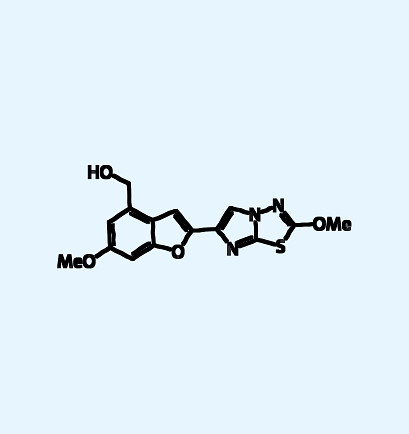 COc1cc(CO)c2cc(-c3cn4nc(OC)sc4n3)oc2c1